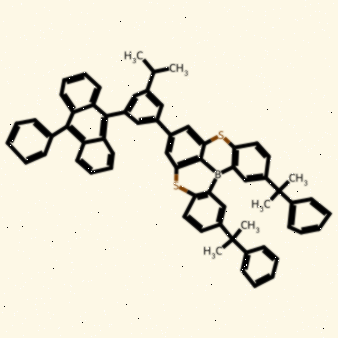 CC(C)c1cc(-c2cc3c4c(c2)Sc2ccc(C(C)(C)c5ccccc5)cc2B4c2cc(C(C)(C)c4ccccc4)ccc2S3)cc(-c2c3ccccc3c(-c3ccccc3)c3ccccc23)c1